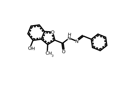 Cc1c(C(=O)NN=Cc2ccccc2)oc2cccc(O)c12